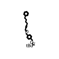 CC(C)(C)[Si](C)(C)OCc1ccc(COCC#CCCCCc2ccccc2)cc1